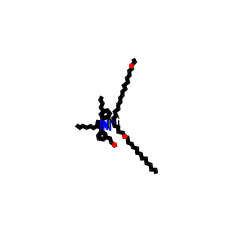 CCCCCCC1=C(c2cccc(CCCC)c2)[N+](=[N-])C(c2cccc(CCCC)c2)=C1.CCCCCCCCCCCCCCCCCC[CH2][Ni][CH2]CCCCCCCCCCCCCCCCCC